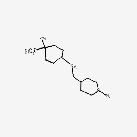 CCOC(=O)C1(C)CCC(NCC2CCN(N)CC2)CC1